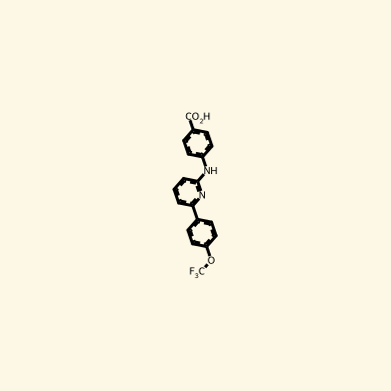 O=C(O)c1ccc(Nc2cccc(-c3ccc(OC(F)(F)F)cc3)n2)cc1